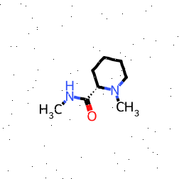 CNC(=O)[C@@H]1CCCCN1C